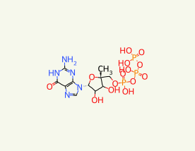 C[C@]1(COP(=O)(O)OP(=O)(O)OP(=O)(O)O)O[C@@H](n2cnc3c(=O)[nH]c(N)nc32)C(O)C1O